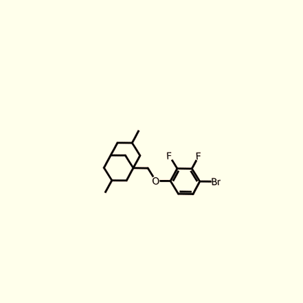 CC1CC2CC(C)CC(COc3ccc(Br)c(F)c3F)(C1)C2